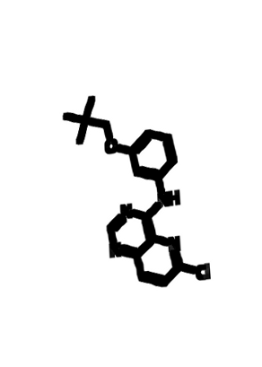 CC(C)(C)COc1cccc(Nc2ncnc3ccc(Cl)nc23)c1